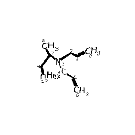 C=CCN(CC=C)C(C)CCCCCCC